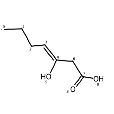 [CH2]CCC=C(O)CC(=O)O